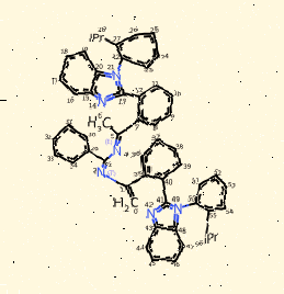 C=C(/N=C(\N=C(/C)c1ccccc1-c1nc2ccccc2n1-c1ccccc1C(C)C)c1ccccc1)c1ccccc1-c1nc2ccccc2n1-c1ccccc1C(C)C